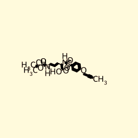 CC#CCOc1ccc(S(=O)(=O)N[C@H](CCCNC(=O)OC(C)(C)C)C(=O)O)cc1